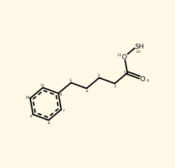 O=C(CCCCc1ccccc1)OS